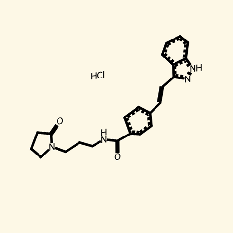 Cl.O=C(NCCCN1CCCC1=O)c1ccc(C=Cc2n[nH]c3ccccc23)cc1